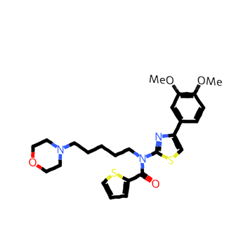 COc1ccc(-c2csc(N(CCCCCN3CCOCC3)C(=O)c3cccs3)n2)cc1OC